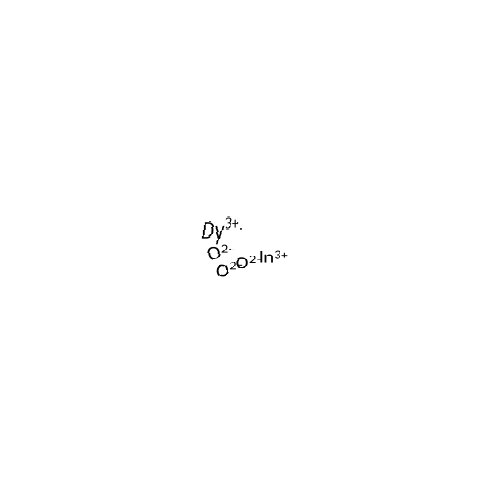 [Dy+3].[In+3].[O-2].[O-2].[O-2]